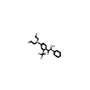 O=C(c1ccc(N(CCF)CCF)cc1C(F)(F)F)C(O)c1ccccc1